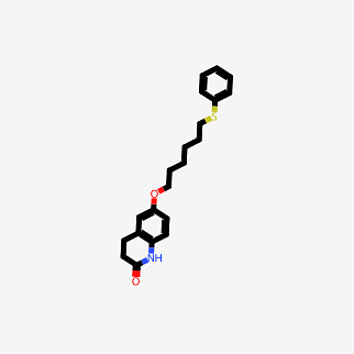 O=C1CCc2cc(OCCCCCCSc3ccccc3)ccc2N1